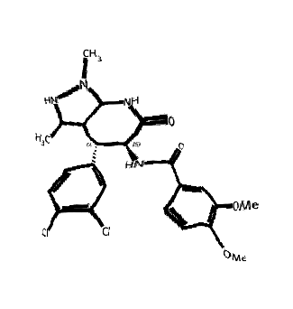 COc1ccc(C(=O)N[C@@H]2C(=O)NC3C(C(C)NN3C)[C@H]2c2ccc(Cl)c(Cl)c2)cc1OC